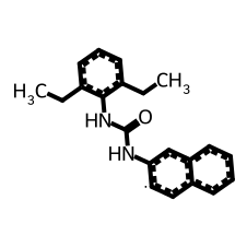 CCc1cccc(CC)c1NC(=O)Nc1[c]cc2ccccc2c1